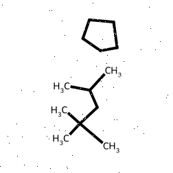 C1CCCC1.CC(C)CC(C)(C)C